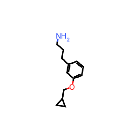 NCCCc1cccc(OCC2CC2)c1